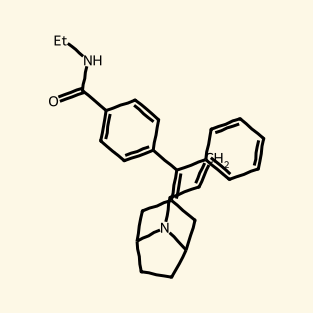 C=CCN1C2CCC1CC(=C(c1ccccc1)c1ccc(C(=O)NCC)cc1)C2